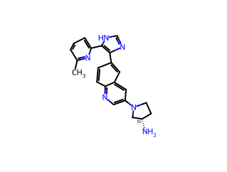 Cc1cccc(-c2[nH]cnc2-c2ccc3ncc(N4CC[C@H](N)C4)cc3c2)n1